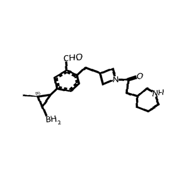 BC1C(c2ccc(CC3CN(C(=O)CC4CCCNC4)C3)c(C=O)c2)[C@@H]1C